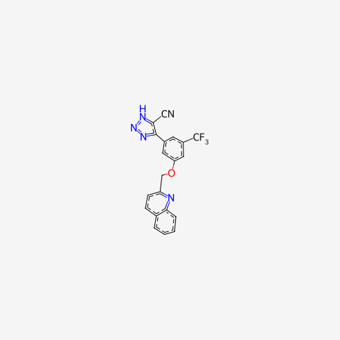 N#Cc1[nH]nnc1-c1cc(OCc2ccc3ccccc3n2)cc(C(F)(F)F)c1